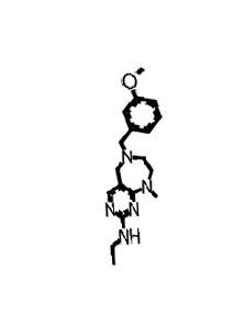 CCNc1ncc2c(n1)N(C)CCN(Cc1cccc(OC)c1)C2